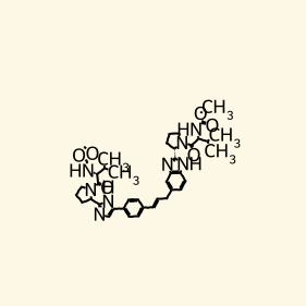 COC(=O)N[C@H](C(=O)N1CCC[C@H]1c1nc2cc(CC=Cc3ccc(-c4cnc(C5CCCN5C(=O)[C@@H](NC5OCO5)C(C)C)[nH]4)cc3)ccc2[nH]1)C(C)C